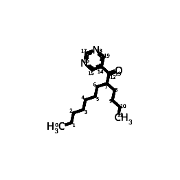 CCCCCCCC(CCCC)C(=O)c1cncnc1